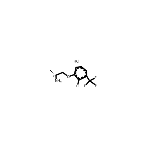 C[C@@H](N)COc1cccc(C(F)(F)F)c1Cl.Cl